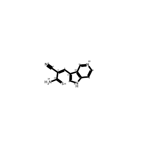 N#C/C(=C/c1c[nH]c2ccncc12)C(N)=S